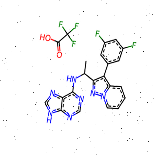 CC(Nc1ncnc2[nH]cnc12)c1nn2ccccc2c1-c1cc(F)cc(F)c1.O=C(O)C(F)(F)F